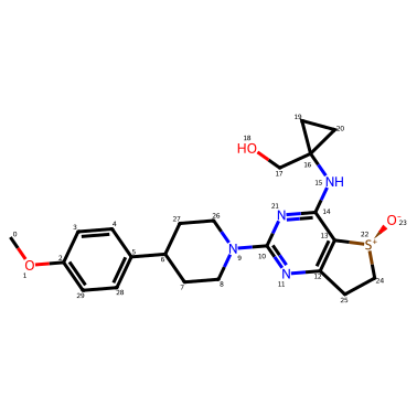 COc1ccc(C2CCN(c3nc4c(c(NC5(CO)CC5)n3)[S@@+]([O-])CC4)CC2)cc1